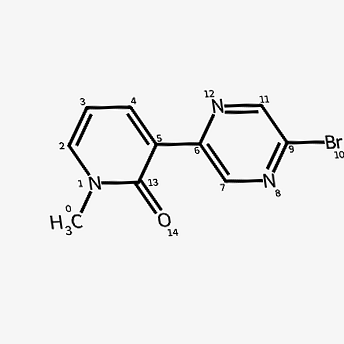 Cn1cccc(-c2cnc(Br)cn2)c1=O